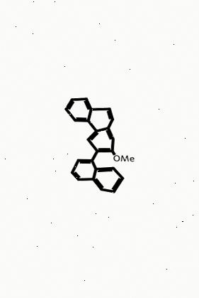 COc1cc2ccc3ccccc3c2cc1-c1cccc2ccccc12